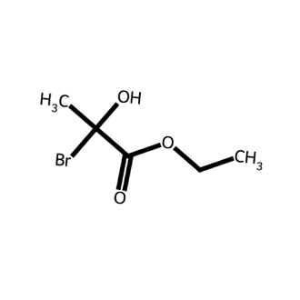 CCOC(=O)C(C)(O)Br